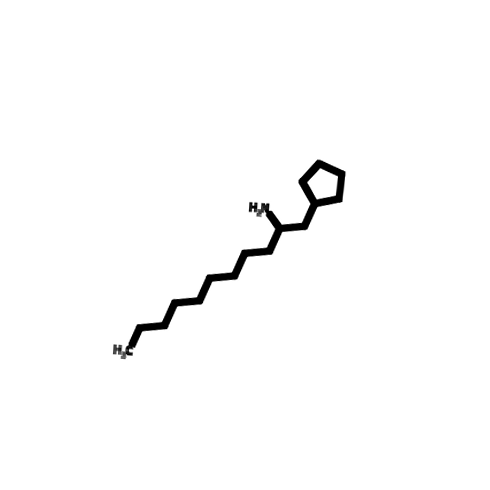 CCCCCCCCCC(N)CC1CCCC1